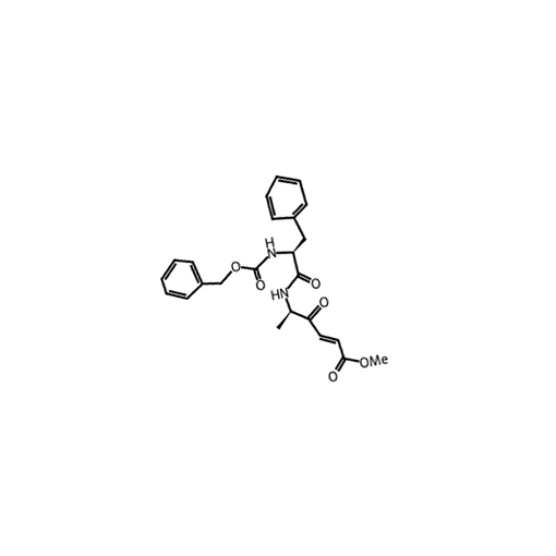 COC(=O)/C=C/C(=O)[C@@H](C)NC(=O)[C@H](Cc1ccccc1)NC(=O)OCc1ccccc1